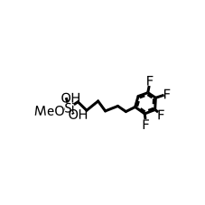 CO[Si](O)(O)CCCCCCc1cc(F)c(F)c(F)c1F